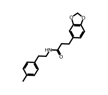 Cc1ccc(CCNC(=O)CCc2ccc3c(c2)OCO3)cc1